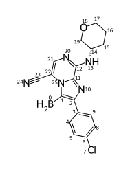 Bc1c(-c2ccc(Cl)cc2)nc2c(N[C@H]3CCCOC3)ncc(C#N)n12